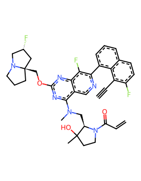 C#Cc1c(F)ccc2cccc(-c3ncc4c(N(C)C[C@H]5N(C(=O)C=C)CCC5(C)O)nc(OC[C@@]56CCCN5C[C@H](F)C6)nc4c3F)c12